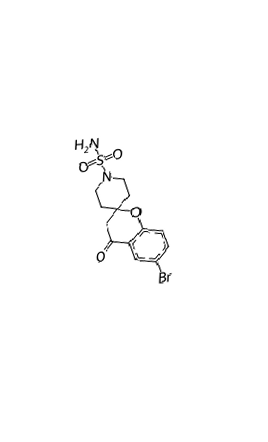 NS(=O)(=O)N1CCC2(CC1)CC(=O)c1cc(Br)ccc1O2